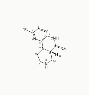 O=C1Nc2ccc(F)nc2N2CCNC[C@@H]12